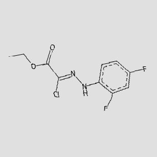 CCOC(=O)C(Cl)=NNc1ccc(F)cc1F